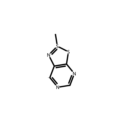 CS1=Nc2[c]ncnc2S1